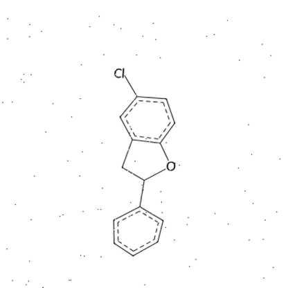 Clc1ccc2c(c1)CC(c1ccccc1)O2